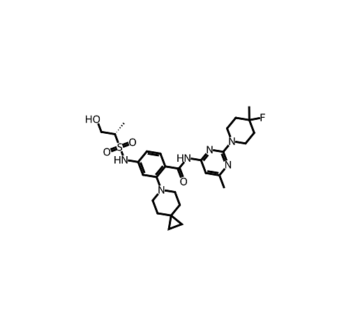 Cc1cc(NC(=O)c2ccc(NS(=O)(=O)[C@@H](C)CO)cc2N2CCC3(CC2)CC3)nc(N2CCC(C)(F)CC2)n1